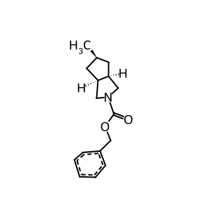 C[C@@H]1C[C@@H]2CN(C(=O)OCc3ccccc3)C[C@@H]2C1